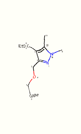 CCOC(=O)c1c(COCOC)nn(C)c1C